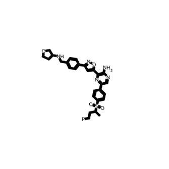 CC(CCF)S(=O)(=O)c1ccc(-c2cnc(N)c(-c3cc(-c4ccc(CNC5CCOC5)cc4)no3)n2)cc1